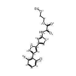 CCOCCOC(=O)C(=O)Nc1nc(-c2cc(-c3c(F)cccc3Cl)no2)cs1